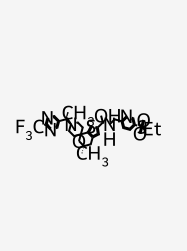 CCS(=O)(=O)c1ccc(CNC(O)c2cc3c(s2)C2(CCN([C@H](C)c4cnc(C(F)(F)F)nc4)CC2)O[C@@H](C)C3)nc1